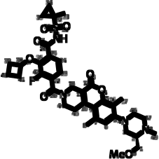 COC[C@H]1CN(c2cc(C)c3c4c(c(=O)oc3c2C)CN(C(=O)c2ccc(C(=O)NS(=O)(=O)C3(C)CC3)c(OC3CCC3)c2F)CC4)CCN1C